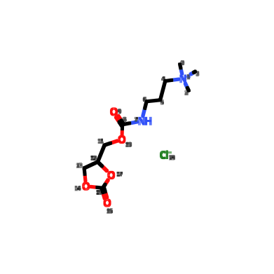 C[N+](C)(C)CCCNC(=O)OCC1COC(=O)O1.[Cl-]